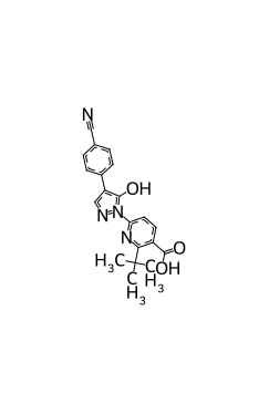 CC(C)(C)c1nc(-n2ncc(-c3ccc(C#N)cc3)c2O)ccc1C(=O)O